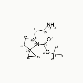 CC(C)(C)OC(=O)N1[C@@H](CCN)CCC12CC2